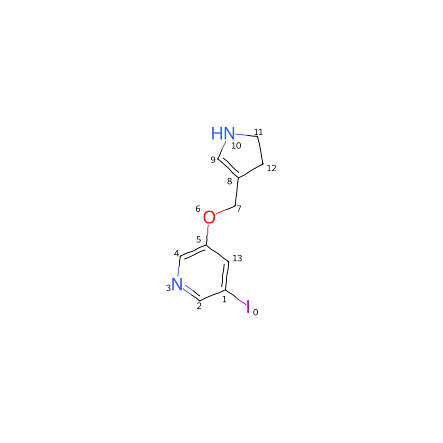 Ic1cncc(OCC2=CNCC2)c1